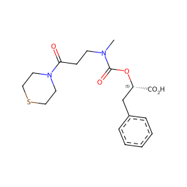 CN(CCC(=O)N1CCSCC1)C(=O)O[C@@H](Cc1ccccc1)C(=O)O